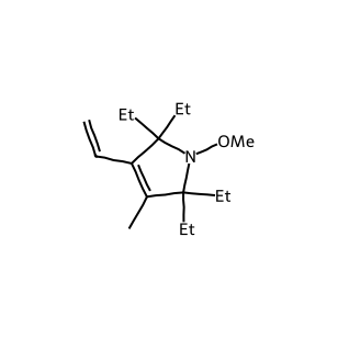 C=CC1=C(C)C(CC)(CC)N(OC)C1(CC)CC